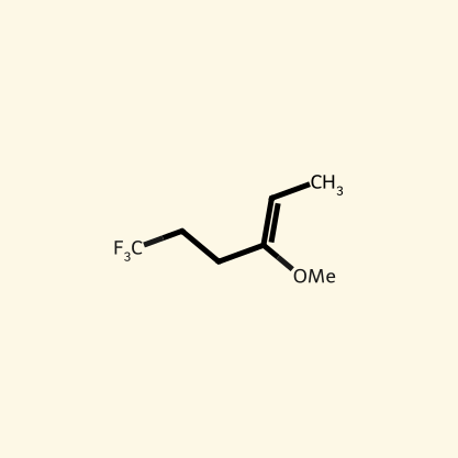 CC=C(CCC(F)(F)F)OC